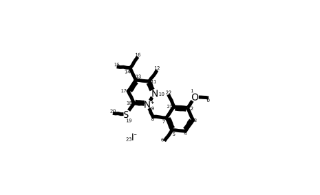 COc1ccc(C)c(C[n+]2nc(C)c(C(C)C)cc2SC)c1C.[I-]